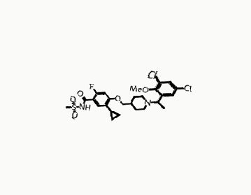 COc1c(Cl)cc(Cl)cc1C(C)N1CCC(COc2cc(F)c(C(=O)NS(C)(=O)=O)cc2C2CC2)CC1